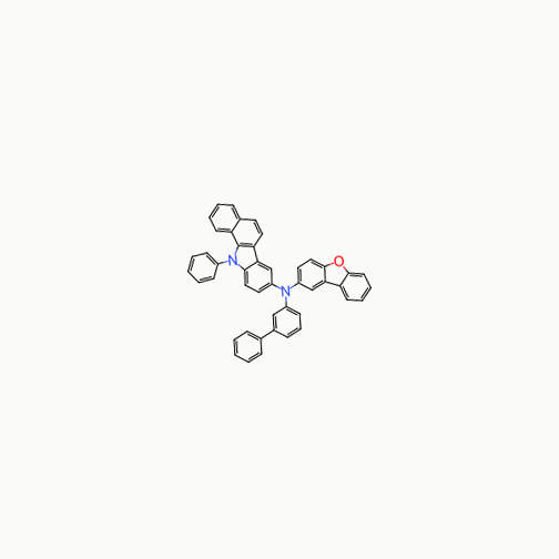 c1ccc(-c2cccc(N(c3ccc4oc5ccccc5c4c3)c3ccc4c(c3)c3ccc5ccccc5c3n4-c3ccccc3)c2)cc1